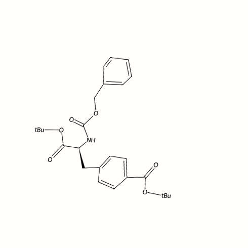 CC(C)(C)OC(=O)c1ccc(C[C@H](NC(=O)OCc2ccccc2)C(=O)OC(C)(C)C)cc1